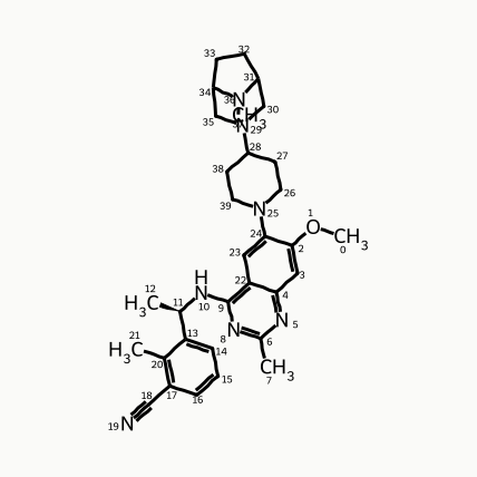 COc1cc2nc(C)nc(N[C@H](C)c3cccc(C#N)c3C)c2cc1N1CCC(N2CC3CCC(C2)N3C)CC1